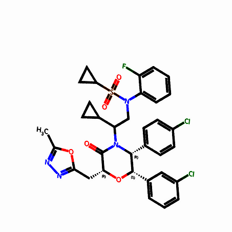 Cc1nnc(C[C@H]2O[C@@H](c3cccc(Cl)c3)[C@@H](c3ccc(Cl)cc3)N(C(CN(c3ccccc3F)S(=O)(=O)C3CC3)C3CC3)C2=O)o1